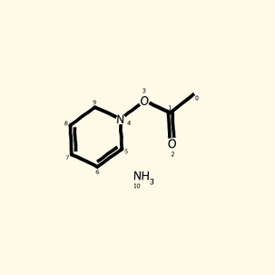 CC(=O)ON1C=CC=CC1.N